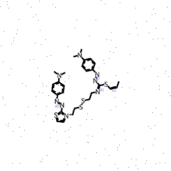 C/C=C\SC(/N=N/c1ccc(N(C)C)cc1)=N/CCSSCC[n+]1ccsc1/N=N/c1ccc(N(C)C)cc1